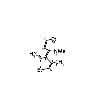 C=CC(/C(C)=C\CC)=C(\C=C/CC)NC